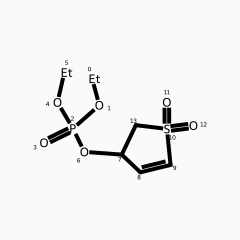 CCOP(=O)(OCC)OC1C=CS(=O)(=O)C1